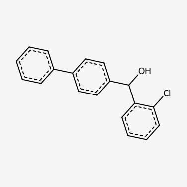 OC(c1ccc(-c2ccccc2)cc1)c1ccccc1Cl